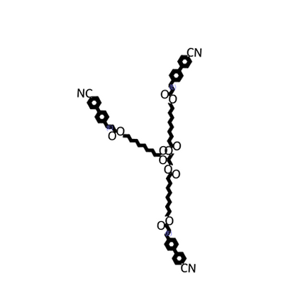 N#Cc1ccc(-c2ccc(/C=C/C(=O)OCCCCCCCCCC(=O)OCC(COC(=O)CCCCCCCCCOC(=O)/C=C/c3ccc(-c4ccc(C#N)cc4)cc3)OC(=O)CCCCCCCCCOC(=O)/C=C/c3ccc(-c4ccc(C#N)cc4)cc3)cc2)cc1